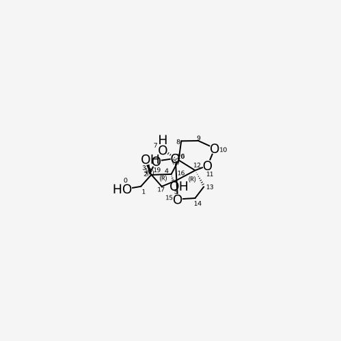 OC[C@@H](O)[C@@H](O)[C@@]1(O)CCOO[C@]12CCOC21CCOO1